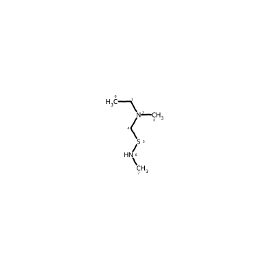 CCN(C)CSNC